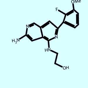 COc1cccc(-c2cc3cnc(N)cc3c(NCCO)n2)c1F